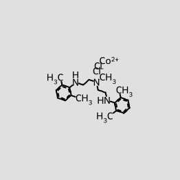 Cc1cccc(C)c1NCCN(C)CCNc1c(C)cccc1C.[Cl-].[Cl-].[Co+2]